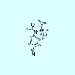 CC(=O)N1c2ccc(C#N)cc2C[C@@H](C)[C@@H]1C1CC1